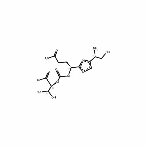 C[C@H](O)[C@H](NC(=O)N[C@@H](CCC(N)=O)c1ncc([C@@H](N)CO)s1)C(=O)O